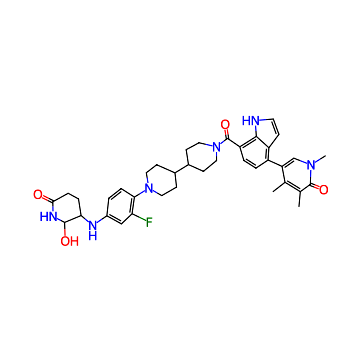 Cc1c(-c2ccc(C(=O)N3CCC(C4CCN(c5ccc(NC6CCC(=O)NC6O)cc5F)CC4)CC3)c3[nH]ccc23)cn(C)c(=O)c1C